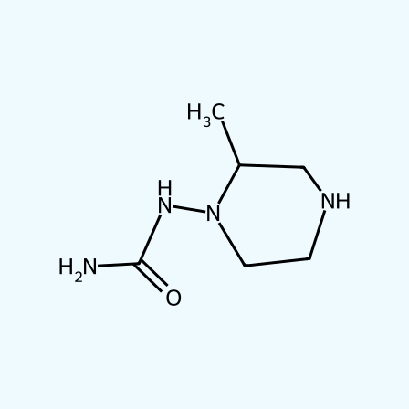 CC1CNCCN1NC(N)=O